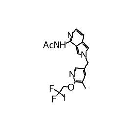 CC(=O)Nc1nccc2cn(Cc3cnc(OCC(F)(F)I)c(C)c3)cc12